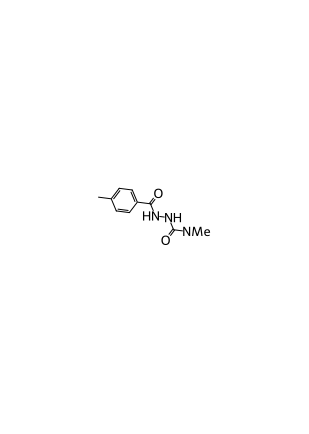 CNC(=O)NNC(=O)c1ccc(C)cc1